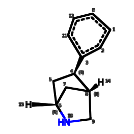 c1ccc([C@@H]2C[C@@H]3C[C@H]2CN3)cc1